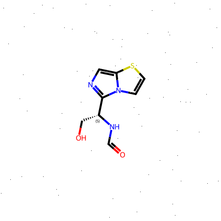 O=CN[C@H](CO)c1ncc2sccn12